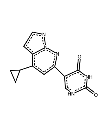 O=c1[nH]cc(-c2cc(C3CC3)c3ccnn3n2)c(=O)[nH]1